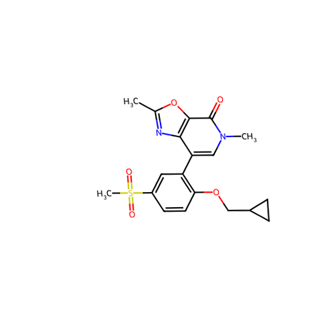 Cc1nc2c(-c3cc(S(C)(=O)=O)ccc3OCC3CC3)cn(C)c(=O)c2o1